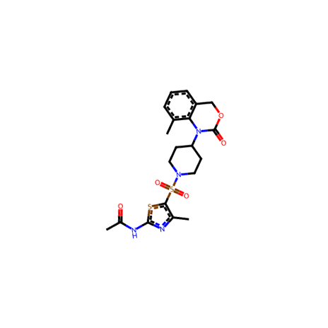 CC(=O)Nc1nc(C)c(S(=O)(=O)N2CCC(N3C(=O)OCc4cccc(C)c43)CC2)s1